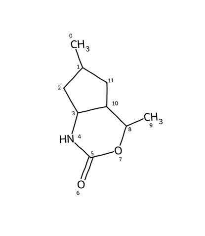 CC1CC2NC(=O)OC(C)C2C1